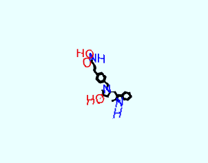 Cc1[nH]c2ccccc2c1C[C@H]1C[C@H](O)CN1Cc1ccc(/C=C/C(=O)NO)cc1